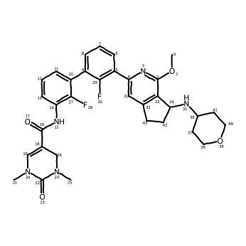 COc1nc(-c2cccc(-c3cccc(NC(=O)C4=CN(C)C(=O)N(C)C4)c3F)c2F)cc2c1C(NC1CCOCC1)CC2